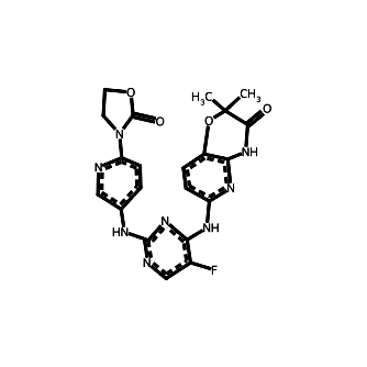 CC1(C)Oc2ccc(Nc3nc(Nc4ccc(N5CCOC5=O)nc4)ncc3F)nc2NC1=O